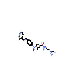 CCNCCCNC(=O)C1C=C(C)C(Nc2ccc(/C=C/C3C=CN=CC3)cc2)=CC1